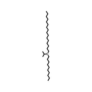 CCCCCCCCCCCCCCCCN(CCCCCCCCCC)C(C)C